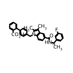 Cc1c(C)n(Cc2ccc(-c3ccccc3C(=O)O)cc2)c2ccc(C(=O)N[C@@H](C)c3cccc(F)c3)cc12